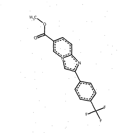 COC(=O)c1ccc2nc(-c3ccc(C(F)(F)F)cc3)cn2c1